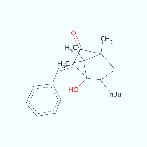 CCCCC1CC2(C)C(=O)C(=Cc3ccccc3)C1(O)C2(C)C